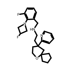 Fc1cccc(CNCCC2(c3ccccn3)CCOC3(CCCC3)C2)c1N1CC(F)C1